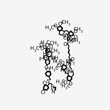 CC(=O)OCC(=O)[C@@]12OC(C)(C)O[C@@H]1C[C@H]1[C@@H]3C[C@H](F)C4=CC(=O)C=C[C@]4(C)[C@@]3(F)[C@@H](O)C[C@@]12C.COc1cc2c(cc1OC)C(Cc1cc(OC)c(OC)c(OC)c1)[N+](C)(CCCOC(=O)CC/C=C/CCC(=O)OCCC[N+]1(C)CCc3cc(OC)c(OC)cc3C1Cc1cc(OC)c(OC)c(OC)c1)CC2.Clc1ccc(CSC(Cn2ccnc2)c2ccc(Cl)cc2Cl)cc1